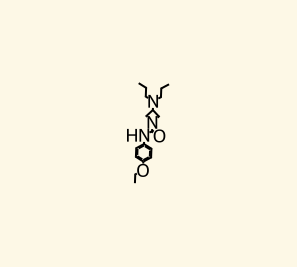 CCCN(CCC)C1CN(C(=O)Nc2ccc(OCC)cc2)C1